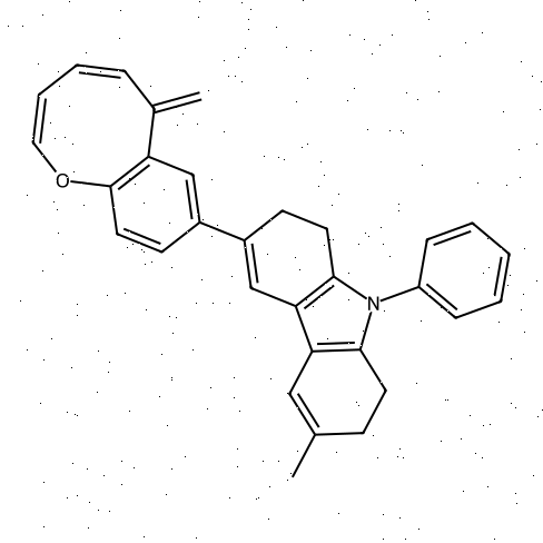 C=C1/C=C\C=C/Oc2ccc(C3=Cc4c5c(n(-c6ccccc6)c4CC3)CCC(C)=C5)cc21